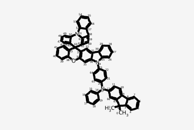 CC1(C)c2ccccc2-c2ccc(N(c3ccccc3)c3ccc(-n4c5ccccc5c5cc6c(cc54)Oc4ccccc4C64c5ccccc5-n5c6ccccc6c6cccc4c65)cc3)cc21